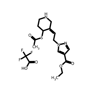 CCOC(=O)c1cnn(CC=C2CNCCC2SC(C)=O)c1.O=C(O)C(F)(F)F